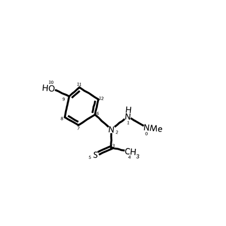 CNNN(C(C)=S)c1ccc(O)cc1